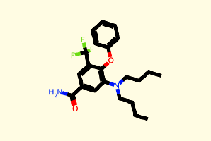 CCCCN(CCCC)c1cc(C(N)=O)cc(C(F)(F)F)c1Oc1ccccc1